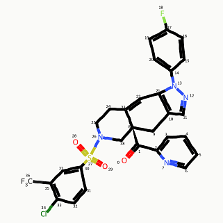 O=C(c1ccccn1)[C@]12Cc3cnn(-c4ccc(F)cc4)c3C=C1CCN(S(=O)(=O)c1ccc(Cl)c(C(F)(F)F)c1)C2